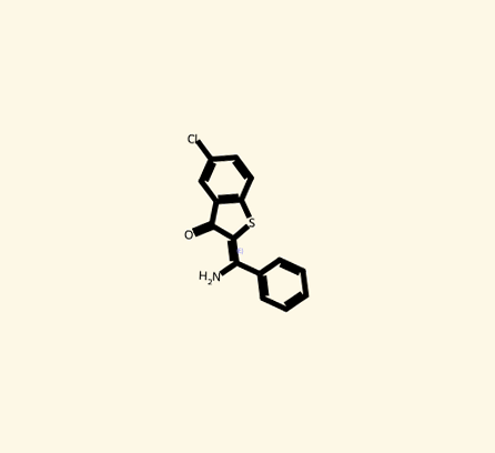 N/C(=C1/Sc2ccc(Cl)cc2C1=O)c1ccccc1